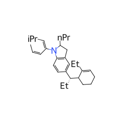 C/C=C\C(=C/C(C)C)N1c2ccc([C@@H](CC)C3CCCC=C3CC)cc2CC1CCC